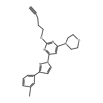 C#CCCCOc1nc(N2CCOCC2)cc(-n2ccc(-c3cccc(C)c3)n2)n1